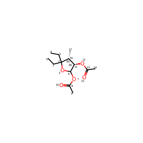 CCC1(CC)OC(OC(C)=O)[C@H](OC(C)=O)[C@H]1C